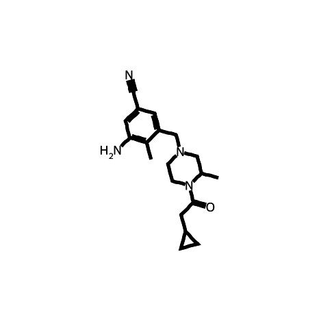 Cc1c(N)cc(C#N)cc1CN1CCN(C(=O)CC2CC2)C(C)C1